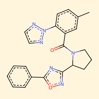 Cc1ccc(-n2nccn2)c(C(=O)N2CCCC2c2noc(-c3ccccc3)n2)c1